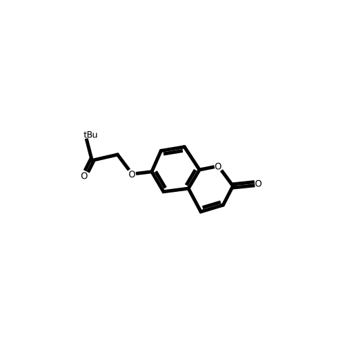 CC(C)(C)C(=O)COc1ccc2oc(=O)ccc2c1